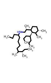 CCCC(CCCCC(C)[C@@H](C)CC)NC[C@H](C)C1CC[C@H](C)C(C)[C@H]1C(CCC)CCC